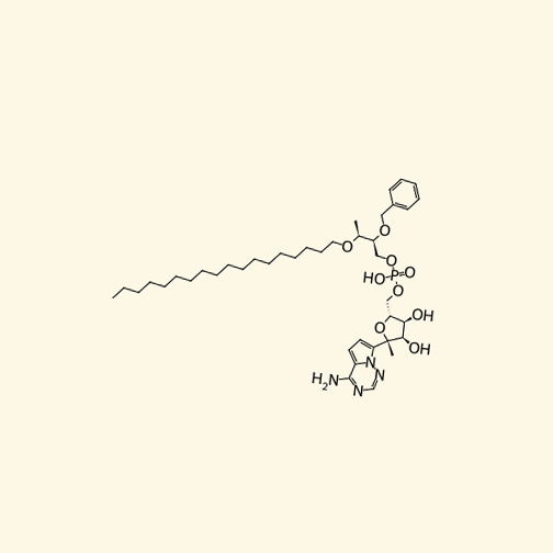 CCCCCCCCCCCCCCCCCCO[C@@H](C)[C@H](COP(=O)(O)OC[C@H]1O[C@@](C)(c2ccc3c(N)ncnn23)[C@H](O)[C@@H]1O)OCc1ccccc1